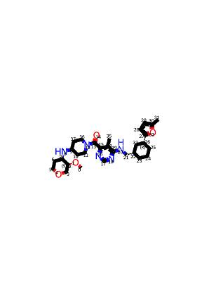 CO[C@@H]1COCC[C@@H]1NC1CCN(C(=O)c2ncnc(NC[C@H]3CCC[C@@H](c4ccc(C)o4)C3)c2C)CC1